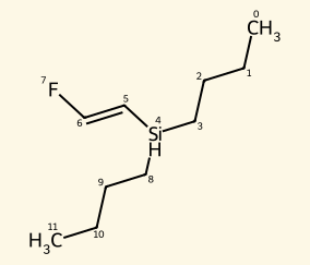 CCCC[SiH](C=CF)CCCC